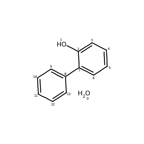 O.Oc1ccccc1-c1ccccc1